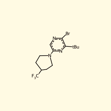 CC(C)(C)c1nc(N2CCC(C(F)(F)F)CC2)cnc1Br